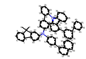 CC1(C)c2ccccc2-c2ccc(N(c3ccc(-c4ccccc4-n4c5ccccc5c5c(-c6cccc(-c7ccccc7)c6)cccc54)cc3)c3ccc(-c4cccc5ccccc45)cc3)cc21